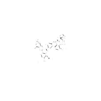 COc1ccc(C(Cc2c(Cl)c[n+]([O-])cc2Cl)OC(=O)c2ccc(CN(C(=O)O[C@H]3CN4CCC3CC4)c3cccc(O)c3OC)cc2)cc1OC